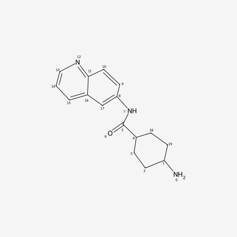 NC1CCC(C(=O)Nc2ccc3ncccc3c2)CC1